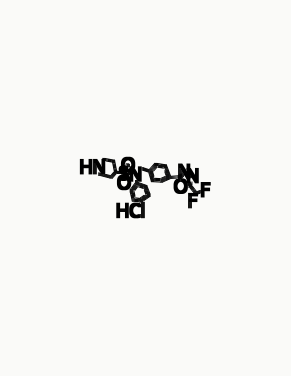 Cl.O=S(=O)(C1CCNCC1)N(Cc1ccc(-c2nnc(C(F)F)o2)cc1)c1ccccc1